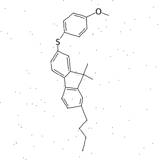 CCCCc1ccc2c(c1)C(C)(C)c1cc(Sc3ccc(OC)cc3)ccc1-2